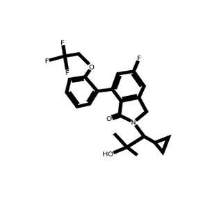 CC(C)(O)C(C1CC1)N1Cc2cc(F)cc(-c3ccccc3OCC(F)(F)F)c2C1=O